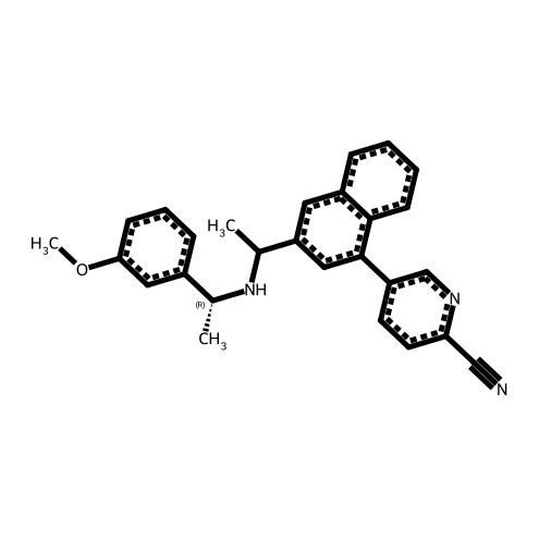 COc1cccc([C@@H](C)NC(C)c2cc(-c3ccc(C#N)nc3)c3ccccc3c2)c1